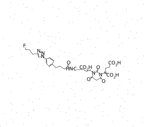 O=C(O)CC[C@@H](C(=O)O)N1C(=O)CC(=O)N(C(CCCCNC(=O)CCCc2ccc(-n3cc(CCCF)nn3)cc2)C(=O)O)C1=O